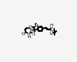 CN1C(=O)C(C)(N2CC=CC(=O)NC2=O)c2ccc(/C=C/C(=O)OC(C)(C)C)cc21